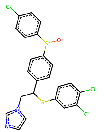 [O-][S+](c1ccc(Cl)cc1)c1ccc(C(Cn2ccnc2)Sc2ccc(Cl)c(Cl)c2)cc1